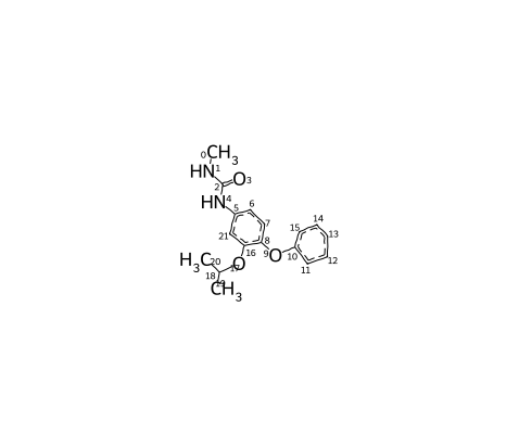 CNC(=O)Nc1ccc(Oc2ccccc2)c(OC(C)C)c1